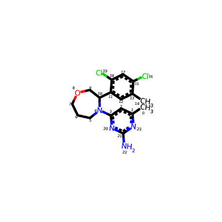 Cc1cc(N2CCCOCC2c2cc(C)c(Cl)cc2Cl)nc(N)n1